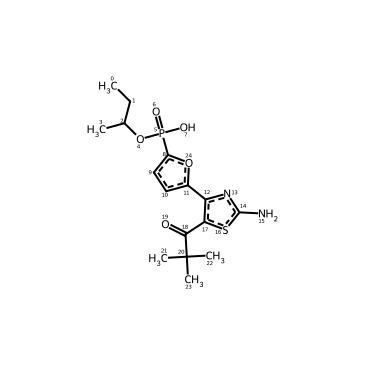 CCC(C)OP(=O)(O)c1ccc(-c2nc(N)sc2C(=O)C(C)(C)C)o1